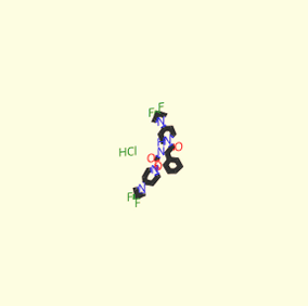 Cl.O=C(N[C@H](C(=O)N1CCC(N2CC(F)(F)C2)CC1)C1CCCCC1)ON1CCC(N2CC(F)(F)C2)CC1